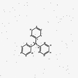 C1=CC[C]([Pt]([c]2ccccc2)[c]2ccccc2)=CC1